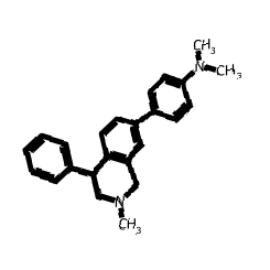 CN1Cc2cc(-c3ccc(N(C)C)cc3)ccc2C(c2ccccc2)C1